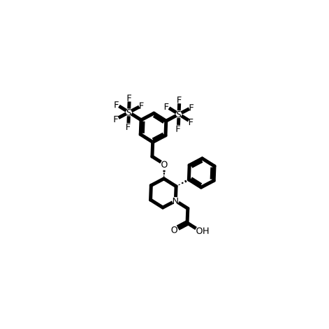 O=C(O)CN1CCC[C@H](OCc2cc(S(F)(F)(F)(F)F)cc(S(F)(F)(F)(F)F)c2)[C@@H]1c1ccccc1